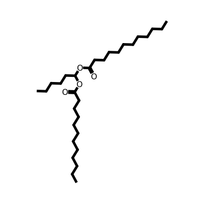 CCCCCCCCCCCC(=O)OC(CCCCC)OC(=O)CCCCCCCCCCC